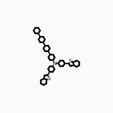 c1ccc(-c2ccc(-c3ccc(-c4ccc(N(c5ccc(-c6cc7ccccc7s6)cc5)c5ccc(-c6cc7ccccc7s6)cc5)cc4)cc3)cc2)cc1